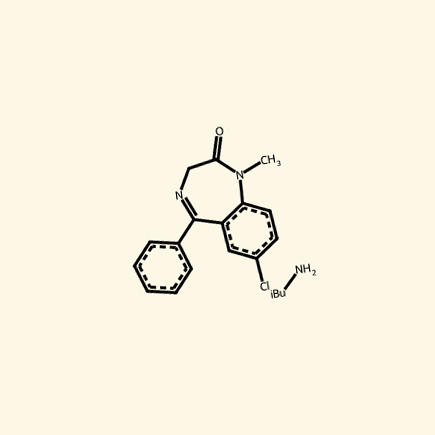 CCC(C)N.CN1C(=O)CN=C(c2ccccc2)c2cc(Cl)ccc21